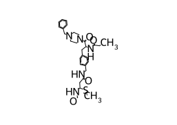 CCC(=O)NC(Cc1ccc(CNC(=O)CC(NC=O)SC)cc1)C(=O)N1CCN(Cc2ccccc2)CC1